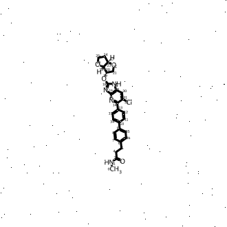 CNC(=O)CCc1ccc(-c2ccc(-c3nc4nc(O[C@@H]5CO[C@@H]6CCO[C@@H]65)[nH]c4cc3Cl)cc2)cc1